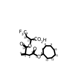 C=C(CC(=O)OC1CCCCCCC1)C(=O)OC(CC(F)(F)F)C(=O)O